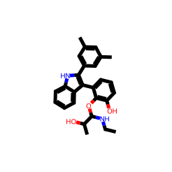 CCNC(Oc1c(O)cccc1-c1c(-c2cc(C)cc(C)c2)[nH]c2ccccc12)C(C)O